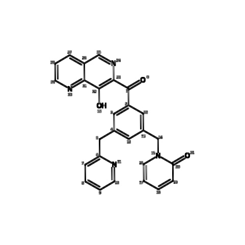 O=C(c1cc(Cc2ccccn2)cc(Cn2ccccc2=O)c1)c1ncc2cccnc2c1O